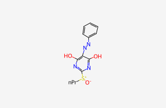 CCC[S+]([O-])c1nc(O)c(N=Nc2ccccc2)c(O)n1